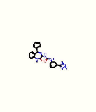 CN1C(=O)C(NC(=O)Nc2cccc(-c3nnn(C)n3)c2)N=C(c2ccccc2)c2ccccc21